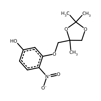 CC1(COc2cc(O)ccc2[N+](=O)[O-])COC(C)(C)O1